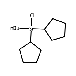 CCCC[Si](Cl)(C1CCCC1)C1CCCC1